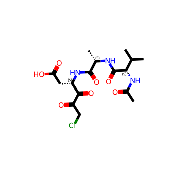 CC(=O)N[C@H](C(=O)N[C@@H](C)C(=O)N[C@@H](CC(=O)O)C(=O)C(=O)CCl)C(C)C